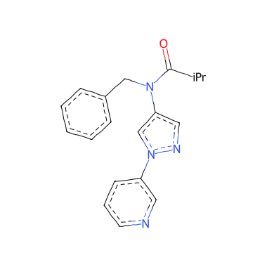 CC(C)C(=O)N(Cc1ccccc1)c1cnn(-c2cccnc2)c1